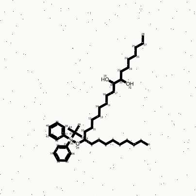 CCCCCCCCCC(CCCCCCCCC(O)C(O)CCCCCCC)O[Si](c1ccccc1)(c1ccccc1)C(C)(C)C